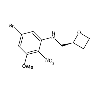 COc1cc(Br)cc(NC[C@@H]2CCO2)c1[N+](=O)[O-]